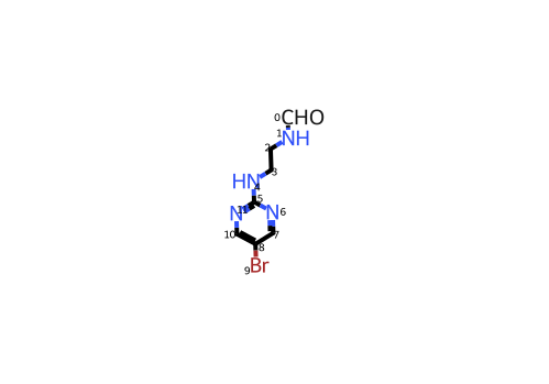 O=CNCCNc1ncc(Br)cn1